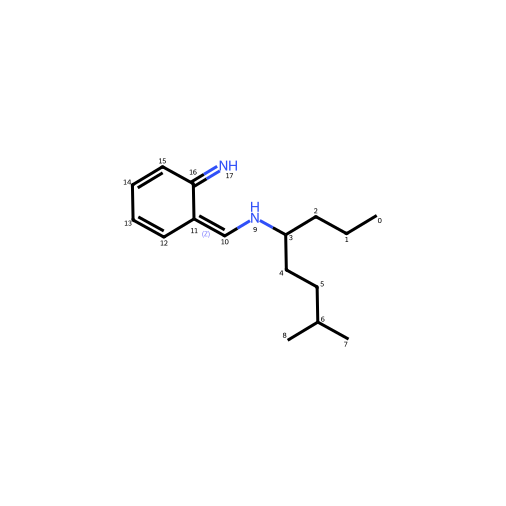 CCCC(CCC(C)C)N/C=C1/C=CC=CC1=N